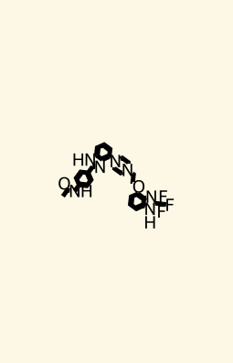 CC(=O)Nc1ccc(-c2nc3c(N4CCN(CCOc5cccc6[nH]c(C(F)(F)F)nc56)CC4)cccc3[nH]2)cc1